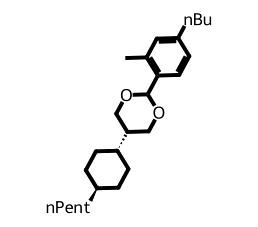 CCCCC[C@H]1CC[C@H](C2COC(c3ccc(CCCC)cc3C)OC2)CC1